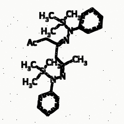 CC(=O)CC(CC(C)=NN(c1ccccc1)[Si](C)(C)C)=NN(c1ccccc1)[Si](C)(C)C